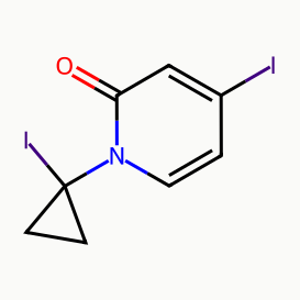 O=c1cc(I)ccn1C1(I)CC1